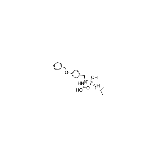 CC(C)CNC[C@@H](O)[C@H](Cc1ccc(OCc2ccccc2)cc1)NC(=O)O